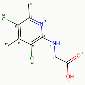 Cc1nc(NCC(=O)O)c(Cl)c(C)c1Cl